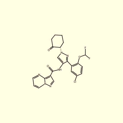 O=C(Nc1cn([C@H]2CCCCC2=O)nc1-c1cc(Cl)ccc1OC(F)F)c1cnn2cccnc12